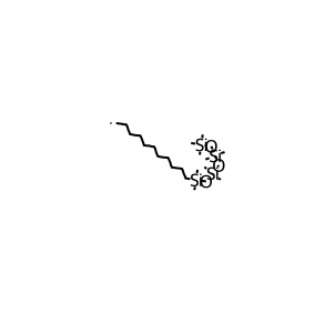 [CH2]CCCCCCCCCC[Si](C)(C)O[Si](C)(C)O[Si](C)(C)O[Si](C)(C)C